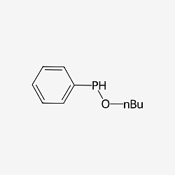 CCCCOPc1ccccc1